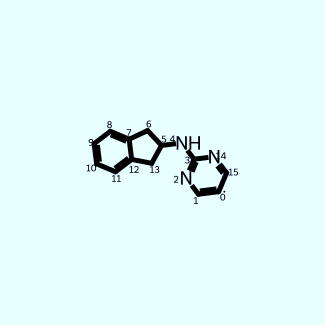 [c]1cnc(NC2Cc3ccccc3C2)nc1